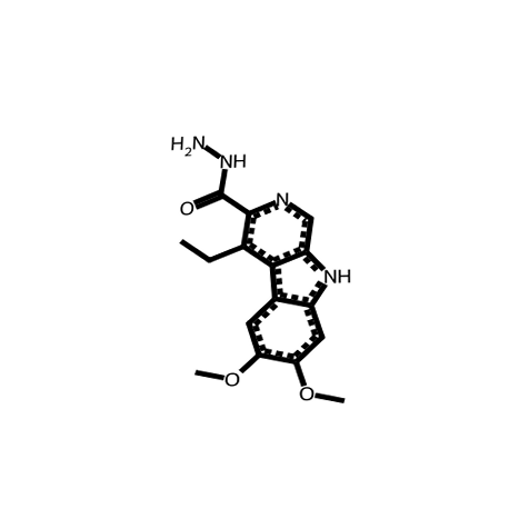 CCc1c(C(=O)NN)ncc2[nH]c3cc(OC)c(OC)cc3c12